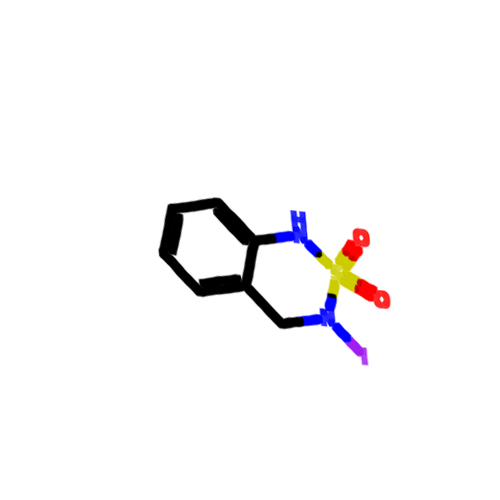 O=S1(=O)Nc2ccccc2CN1I